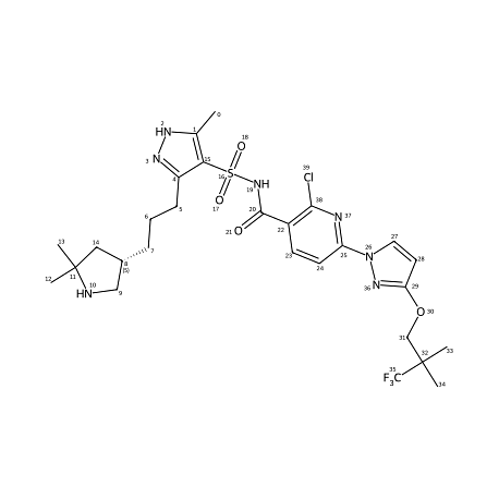 Cc1[nH]nc(CCC[C@@H]2CNC(C)(C)C2)c1S(=O)(=O)NC(=O)c1ccc(-n2ccc(OCC(C)(C)C(F)(F)F)n2)nc1Cl